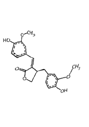 COc1cc(/C=C2\C(=O)OC[C@@H]2Cc2ccc(O)c(OC)c2)ccc1O